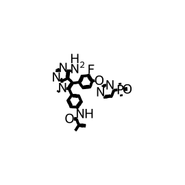 C=C(C)C(=O)Nc1ccc(-c2c(-c3ccc(Oc4nccc(P(C)(C)=O)n4)c(F)c3)c3c(N)ncnc3n2C)cc1